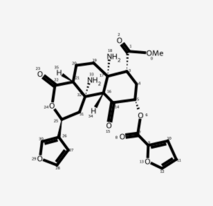 COC(=O)[C@@H]1C[C@H](OC(=O)c2ccco2)C(=O)[C@H]2[C@@]1(N)CC[C@H]1C(=O)O[C@H](c3ccoc3)C[C@]21N